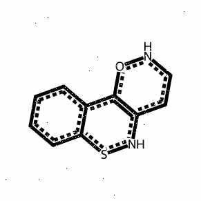 c1ccc2c3o[nH]ccc=3[nH]sc2c1